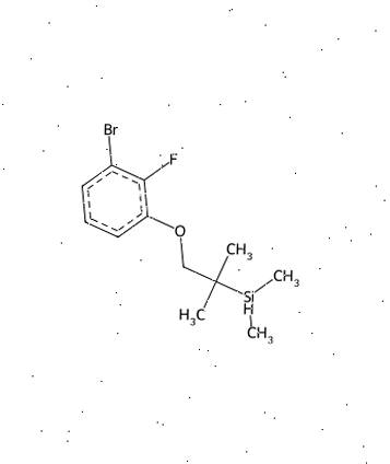 C[SiH](C)C(C)(C)COc1cccc(Br)c1F